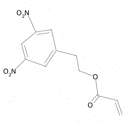 C=CC(=O)OCCc1cc([N+](=O)[O-])cc([N+](=O)[O-])c1